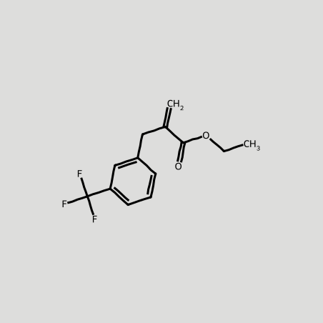 C=C(Cc1cccc(C(F)(F)F)c1)C(=O)OCC